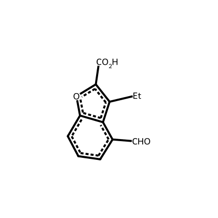 CCc1c(C(=O)O)oc2cccc(C=O)c12